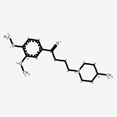 COc1ccc(C(=O)CCCN2CCC(C)CC2)cc1OC